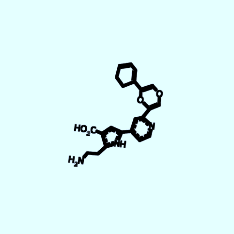 NCCc1[nH]c(-c2ccnc(C3=COC=C(C4=CC=CCC4)O3)c2)cc1C(=O)O